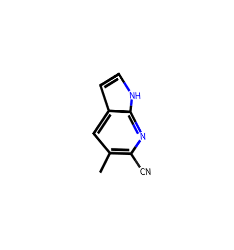 Cc1cc2cc[nH]c2nc1C#N